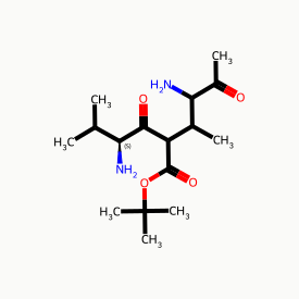 CC(=O)C(N)C(C)C(C(=O)OC(C)(C)C)C(=O)[C@@H](N)C(C)C